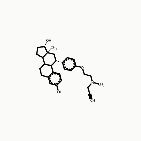 C#CCN(C)CCOc1ccc([C@H]2C[C@@]3(C)C(CC[C@@H]3O)C3CCc4cc(O)ccc4C32)cc1